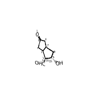 O=C[C@H]1C2CC(=O)CC2C[C@@H]1O